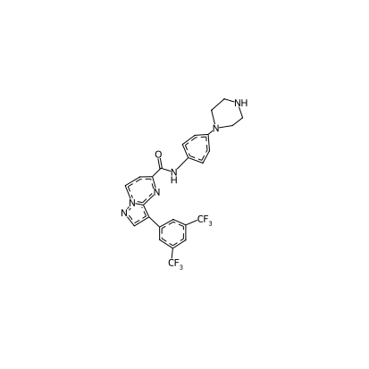 O=C(Nc1ccc(N2CCNCC2)cc1)c1ccn2ncc(-c3cc(C(F)(F)F)cc(C(F)(F)F)c3)c2n1